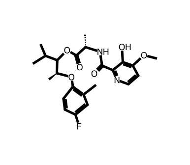 COc1ccnc(C(=O)N[C@@H](C)C(=O)OC(C(C)C)[C@H](C)Oc2ccc(F)cc2C)c1O